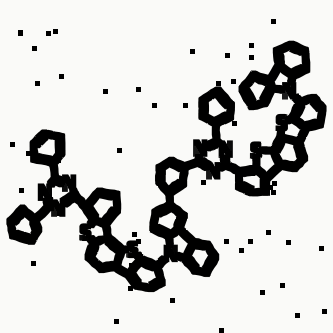 c1ccc(-c2nc(-c3cccc(-c4ccc5c(c4)c4ccccc4n5-c4cccc5c4sc4c5ccc5sc6c(-c7nc(-c8ccccc8)nc(-c8ccccc8)n7)cccc6c54)c3)nc(-c3cccc4c3sc3c4ccc4c5cccc(-n6c7ccccc7c7ccccc76)c5sc43)n2)cc1